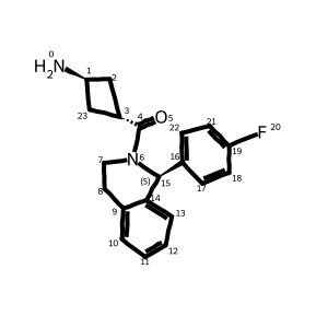 N[C@H]1C[C@H](C(=O)N2CCc3ccccc3[C@@H]2c2ccc(F)cc2)C1